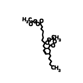 CCCCCC1C=CC(CCCCCCCCC(=O)OOC(C)=O)C(C(=O)OOC(C)=O)C1